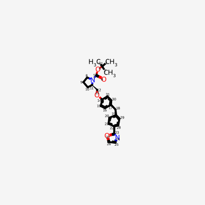 CC(C)(C)OC(=O)N1CCC[C@@H]1COc1ccc(Cc2ccc(-c3ncco3)cc2)cc1